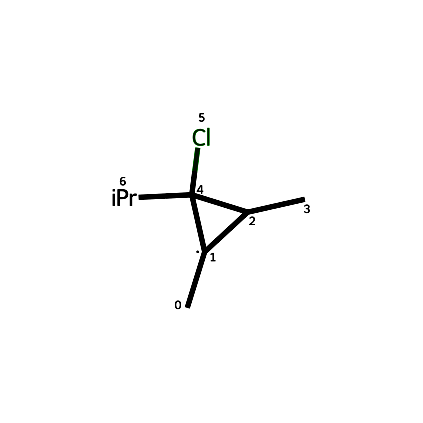 C[C]1C(C)C1(Cl)C(C)C